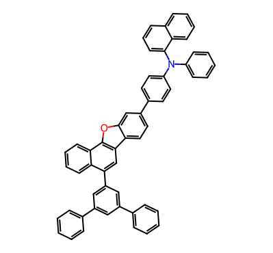 c1ccc(-c2cc(-c3ccccc3)cc(-c3cc4c5ccc(-c6ccc(N(c7ccccc7)c7cccc8ccccc78)cc6)cc5oc4c4ccccc34)c2)cc1